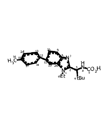 CCn1c(C(NC(=O)O)C(C)(C)C)nc2ccc(-c3ccc(C)cc3)cc21